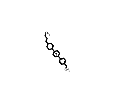 CCCCC1CCC(C23CCC(c4ccc(CC)cc4)(CC2)CC3)CC1